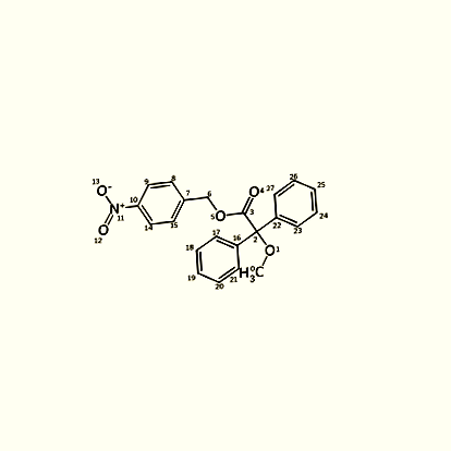 COC(C(=O)OCc1ccc([N+](=O)[O-])cc1)(c1ccccc1)c1ccccc1